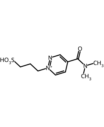 CN(C)C(=O)c1cc[n+](CCCS(=O)(=O)O)nc1